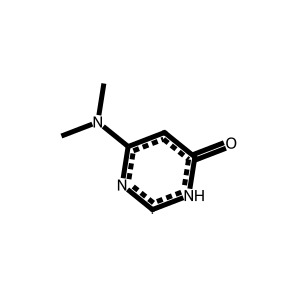 CN(C)c1cc(=O)[nH][c]n1